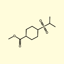 COC(=O)C1CCC(S(=O)(=O)C(C)C)CC1